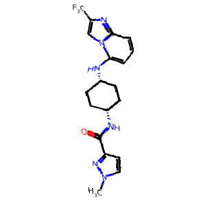 Cn1ccc(C(=O)N[C@H]2CC[C@@H](Nc3cccc4nc(C(F)(F)F)cn34)CC2)n1